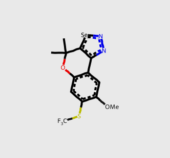 COc1cc2c(cc1SC(F)(F)F)OC(C)(C)c1[se]nnc1-2